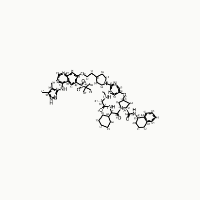 CN[C@@H](C)C(=O)NC(C(=O)N1C[C@@H](Oc2cnc(N3CCC(CCOc4cc5ncnc(Nc6n[nH]c(C)c6C)c5cc4S(=O)(=O)C(C)(C)C)CC3)nc2)C[C@H]1C(=O)N[C@@H]1CCCc2ccccc21)C1CCCCC1